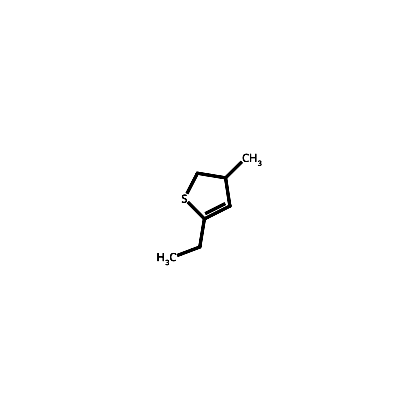 CCC1=CC(C)CS1